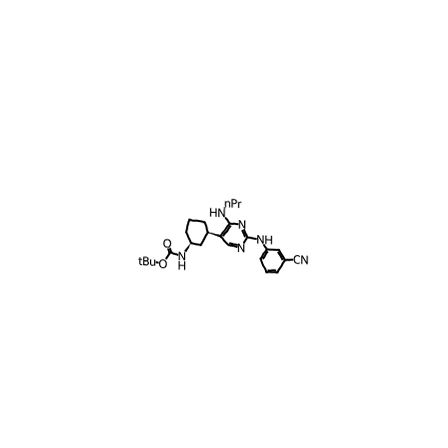 CCCNc1nc(Nc2cccc(C#N)c2)ncc1[C@@H]1CCC[C@H](NC(=O)OC(C)(C)C)C1